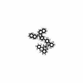 c1ccc2c(c1)Sc1cccc3nc(-n4c5ccccc5c5ccc(-c6ccc7c(c6)c6c8ccccc8ccc6n7-c6ccc7ccccc7c6)cc54)nc-2c13